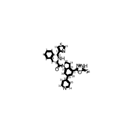 O=C([C@H](Cc1ccccc1)NCc1cscn1)N1CCc2c(-c3n[nH]c(=S)o3)cc(-c3ccncc3)cc21